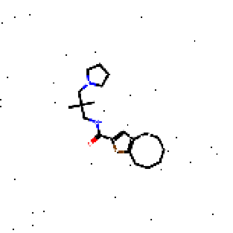 CC(C)(CNC(=O)c1cc2c(s1)CCCCCC2)CN1CCCC1